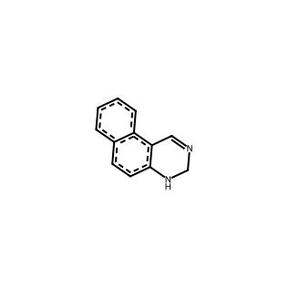 C1=NCNc2ccc3ccccc3c21